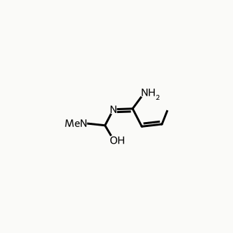 C/C=C\C(N)=N/C(O)NC